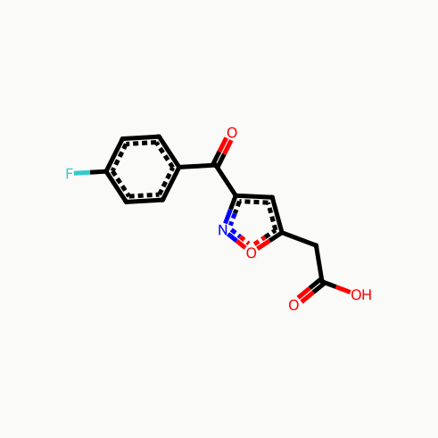 O=C(O)Cc1cc(C(=O)c2ccc(F)cc2)no1